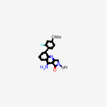 CCCN1Cc2nc3c(-c4ccc(OC)cc4F)cccc3c(N)c2C1=O